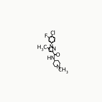 Cc1cc(C(=O)NC2CCN(C)CC2)nn1-c1ccc(Cl)c(F)c1